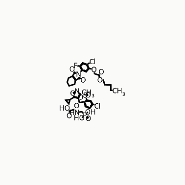 CCCCCOC(=O)COc1cc(N2C(=O)C3=C(CCCC3)C2=O)c(F)cc1Cl.CS(=O)(=O)c1cc(Cl)ccc1C(=O)c1cnoc1C1CC1.O=C(O)CNCP(=O)(O)O